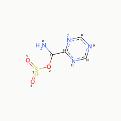 NC(O[SH](=O)=O)c1ncncn1